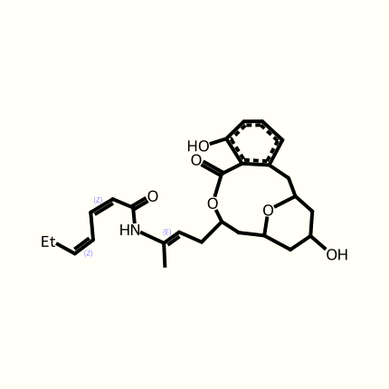 CC/C=C\C=C/C(=O)N/C(C)=C/CC1CC2CC(O)CC(Cc3cccc(O)c3C(=O)O1)O2